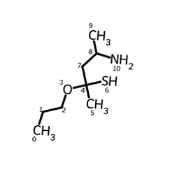 CCCOC(C)(S)CC(C)N